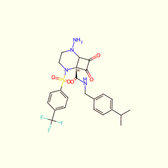 CC(C)c1ccc(CNC(=O)[C@]23C(=O)C(=O)C2N(N)CCN3S(=O)(=O)c2ccc(C(F)(F)F)cc2)cc1